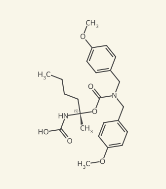 CCCC[C@@](C)(NC(=O)O)OC(=O)N(Cc1ccc(OC)cc1)Cc1ccc(OC)cc1